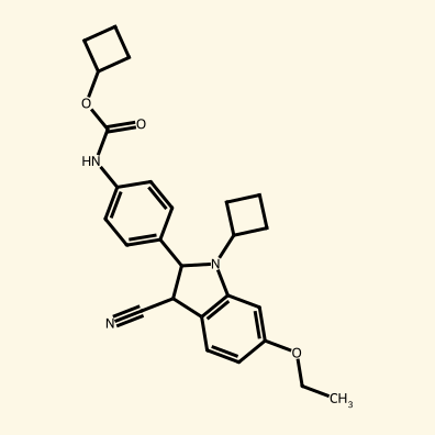 CCOc1ccc2c(c1)N(C1CCC1)C(c1ccc(NC(=O)OC3CCC3)cc1)C2C#N